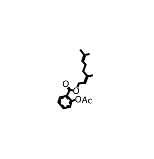 CC(=O)Oc1ccccc1C(=O)OCC=C(C)CCC=C(C)C